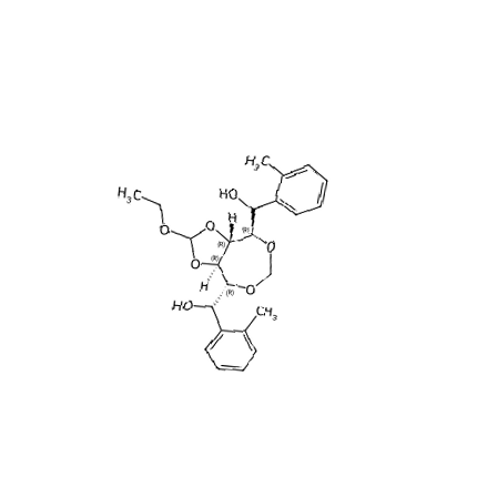 CCOC1O[C@H]2[C@H](O1)[C@@H](C(O)c1ccccc1C)OCO[C@@H]2C(O)c1ccccc1C